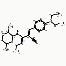 CC/C=C(NC1CC(O)COC1O)/C(C#N)=C/c1ccc(N(CC)CC)cc1